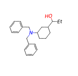 CCC(O)C1CCCC(N(Cc2ccccc2)Cc2ccccc2)C1